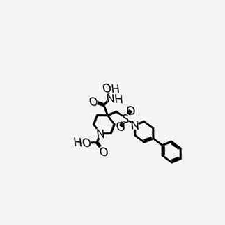 O=C(O)N1CCC(CS(=O)(=O)N2CC=C(c3ccccc3)CC2)(C(=O)NO)CC1